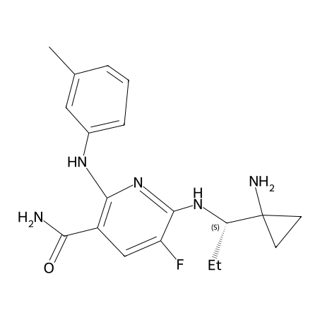 CC[C@H](Nc1nc(Nc2cccc(C)c2)c(C(N)=O)cc1F)C1(N)CC1